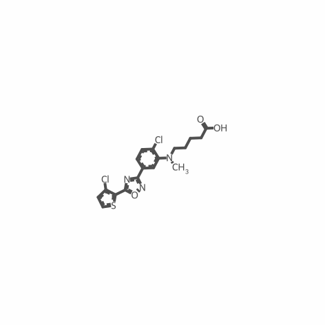 CN(CCCCC(=O)O)c1cc(-c2noc(-c3sccc3Cl)n2)ccc1Cl